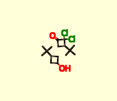 CC(C)(C)C1CC(=O)C1(Cl)Cl.CC(C)(C)C1CC(O)C1